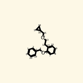 c1ccc(COc2ccccc2CCOCC2CC2)cc1